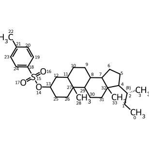 CC[C@@H](C)C1CCC2C3CCC4CC(OS(=O)(=O)c5ccc(C)cc5)CCC4(C)C3CCC21C